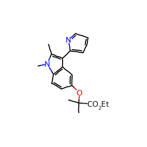 CCOC(=O)C(C)(C)Oc1ccc2c(c1)c(-c1ccccn1)c(C)n2C